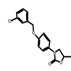 CC(O)C1CN(c2ccc(OCc3cccc(Cl)c3)cc2)C(=O)O1